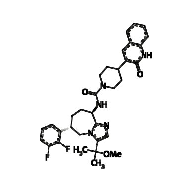 COC(C)(C)c1cnc2n1C[C@H](c1cccc(F)c1F)CC[C@H]2NC(=O)N1CCC(c2cc3ccccc3[nH]c2=O)CC1